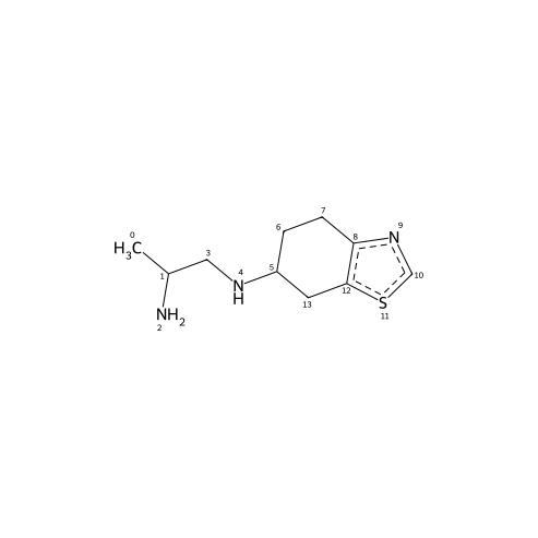 CC(N)CNC1CCc2ncsc2C1